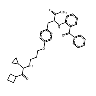 COC(=O)C(Cc1ccc(OCCCNC(C(=O)C2CCC2)C2CC2)cc1)Nc1ccccc1C(=O)c1ccccc1